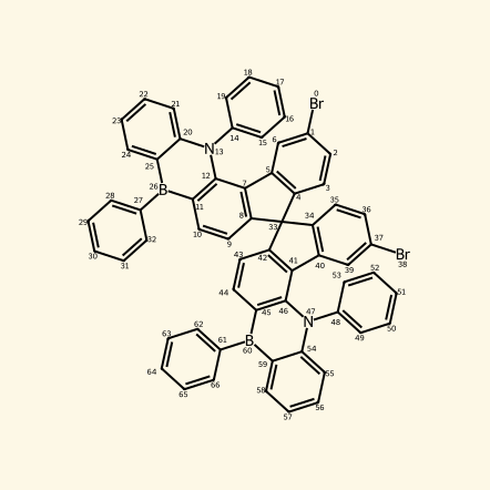 Brc1ccc2c(c1)-c1c(ccc3c1N(c1ccccc1)c1ccccc1B3c1ccccc1)C21c2ccc(Br)cc2-c2c1ccc1c2N(c2ccccc2)c2ccccc2B1c1ccccc1